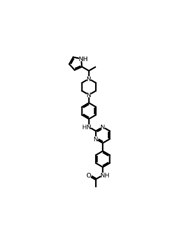 CC(=O)Nc1ccc(-c2ccnc(Nc3ccc(N4CCN(C(C)c5ccc[nH]5)CC4)cc3)n2)cc1